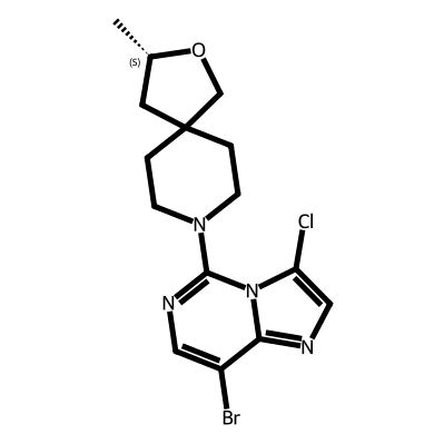 C[C@H]1CC2(CCN(c3ncc(Br)c4ncc(Cl)n34)CC2)CO1